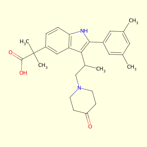 Cc1cc(C)cc(-c2[nH]c3ccc(C(C)(C)C(=O)O)cc3c2C(C)CN2CCC(=O)CC2)c1